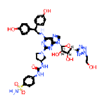 NS(=O)(=O)c1ccc(NC(=O)NC2CCN(c3nc(NCC(c4ccc(O)cc4)c4ccc(O)cc4)c4ncn([C@@H]5O[C@H](c6nnn(CCO)n6)[C@@H](O)[C@H]5O)c4n3)C2)cc1